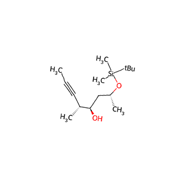 CC#C[C@@H](C)[C@H](O)C[C@@H](C)O[Si](C)(C)C(C)(C)C